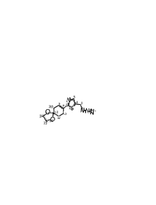 [N-]=[N+]=NCc1cnc(C2=CCC3(CC2)OCCO3)s1